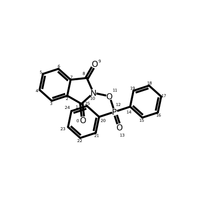 O=C1c2ccccc2C(=O)N1OP(=O)(c1ccccc1)c1ccccc1